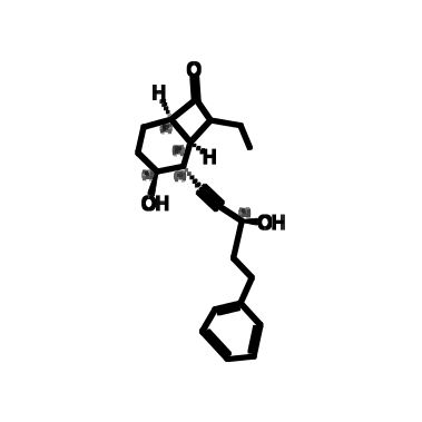 CCC1C(=O)[C@@H]2CC[C@H](O)[C@@H](C#C[C@@H](O)CCc3ccccc3)[C@H]12